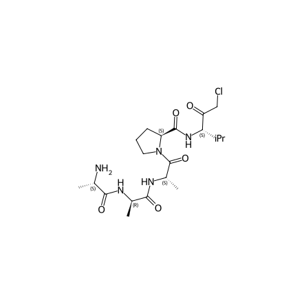 CC(C)[C@H](NC(=O)[C@@H]1CCCN1C(=O)[C@H](C)NC(=O)[C@@H](C)NC(=O)[C@H](C)N)C(=O)CCl